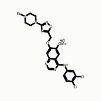 CCN1CCN(c2noc(COc3cc4ncnc(Nc5ccc(Cl)c(Cl)c5)c4cc3OC)n2)CC1.Cl